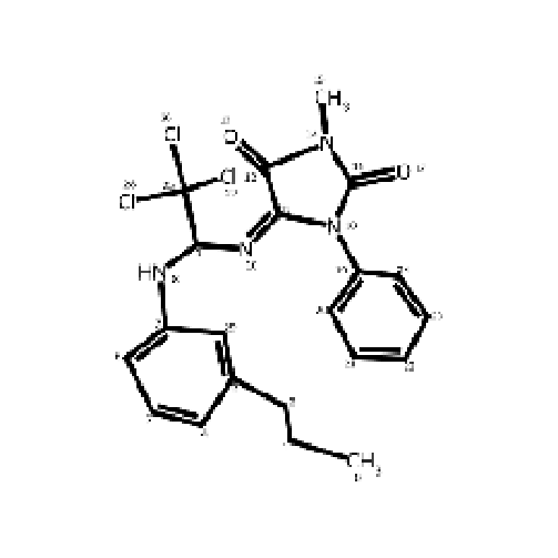 CCCc1cccc(NC(N=C2C(=O)N(C)C(=O)N2c2ccccc2)C(Cl)(Cl)Cl)c1